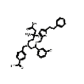 CC(C)(CCN(Cc1ccc(C(=O)O)cc1)CC(OCc1ccc(CCc2ccccc2)s1)c1cccc(Cl)c1)CC(=O)O